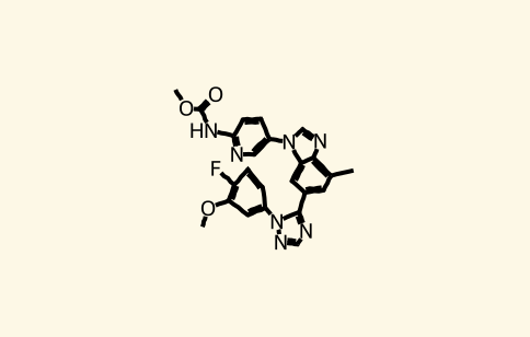 COC(=O)Nc1ccc(-n2cnc3c(C)cc(-c4ncnn4-c4ccc(F)c(OC)c4)cc32)cn1